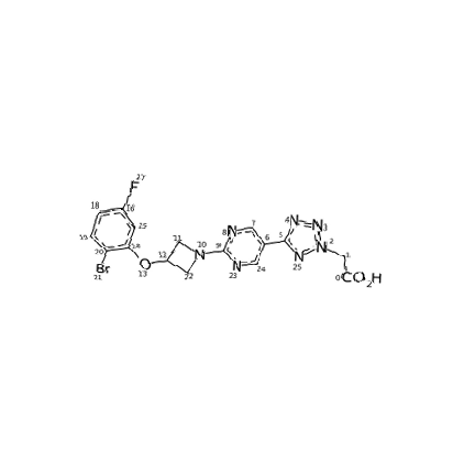 O=C(O)Cn1nnc(-c2cnc(N3CC(Oc4cc(F)ccc4Br)C3)nc2)n1